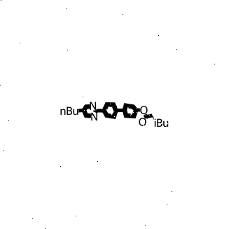 CCCCc1cnc(-c2ccc(-c3ccc(OC(=O)C[C@@H](C)CC)cc3)cc2)nc1